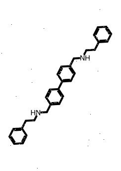 c1ccc(CCNCc2ccc(-c3ccc(CNCCc4ccccc4)cc3)cc2)cc1